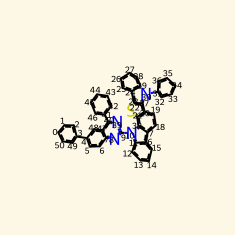 c1ccc(-c2ccc3nc(-n4c5ccccc5c5ccc6c(sc7c8ccccc8n(-c8ccccc8)c67)c54)nc(-c4ccccc4)c3c2)cc1